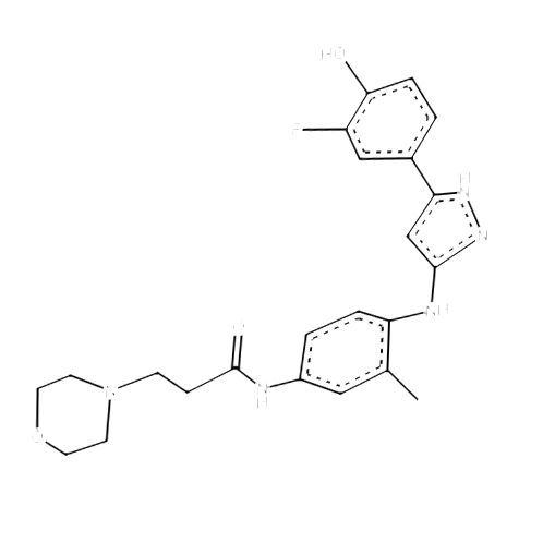 Cc1cc(NC(=O)CCN2CCOCC2)ccc1Nc1cc(-c2ccc(O)c(F)c2)[nH]n1